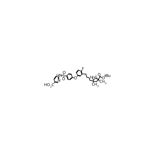 CC(C)(CCCCc1cc(Oc2ccc(S(=O)(=O)Nc3ccc(C(=O)O)cn3)cc2)ccc1F)CC(C)(C)C(=O)OC(C)(C)C